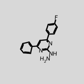 NNc1nc(-c2ccccc2)cc(-c2ccc(F)cc2)n1